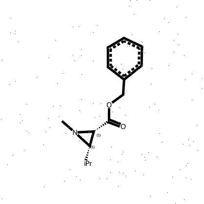 CC(C)[C@H]1[C@@H](C(=O)OCc2ccccc2)N1C